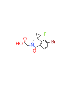 O=C(O)CN1C[C@@]2(C[C@@H]2F)c2cc(Br)ccc2C1=O